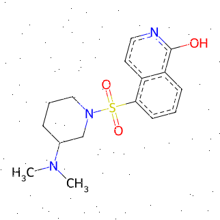 CN(C)C1CCCN(S(=O)(=O)c2cccc3c(O)nccc23)C1